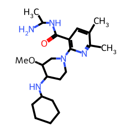 COC1CN(c2nc(C)c(C)cc2C(=O)NC(C)N)CCC1NC1CCCCC1